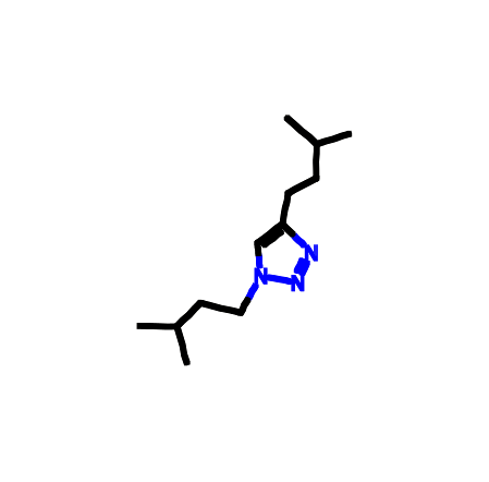 CC(C)CCc1cn(CCC(C)C)nn1